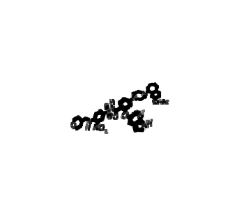 CC(=O)Nc1ccc2c(c1)C(N1CCN(c3ccc(C(=O)NS(=O)(=O)c4ccc(NCC5CCOCC5)c([N+](=O)[O-])c4)c(Oc4cnc5[nH]ccc5c4)c3)CC1)CCCC2